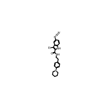 CCc1c(C(=O)NCCc2ccc(N3CCCCC3)cc2)[nH]c2ccc(N=[N+]=[N-])cc12